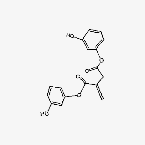 C=C(CC(=O)Oc1cccc(O)c1)C(=O)Oc1cccc(O)c1